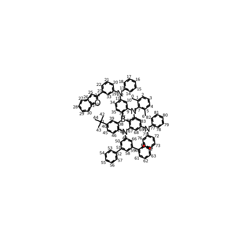 Cc1cccc(C)c1N1c2cc(N(c3ccccc3)c3cccc(-c4cc5ccccc5o4)c3)ccc2B2c3cc(C(C)(C)C)ccc3N(c3cc(-c4ccccc4)cc(-c4ccccc4)c3)c3cc(N(c4ccccc4)c4ccccc4)cc1c32